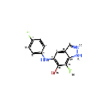 Fc1ccc(Nc2cc3cn[nH]c3c(F)c2Br)cc1